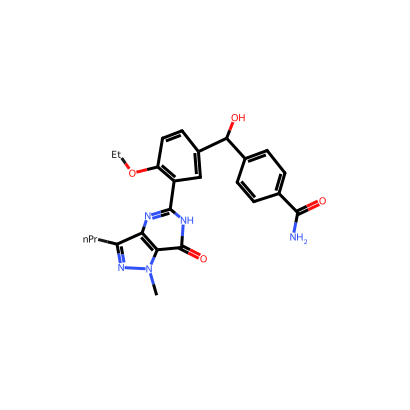 CCCc1nn(C)c2c(=O)[nH]c(-c3cc(C(O)c4ccc(C(N)=O)cc4)ccc3OCC)nc12